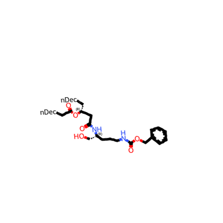 CCCCCCCCCCCC(=O)O[C@H](CCCCCCCCCCC)CC(=O)N[C@@H](CO)CCCNC(=O)OCc1ccccc1